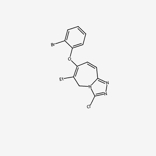 CCC1=C(Oc2ccccc2Br)C=Cc2nnc(Cl)n2C1